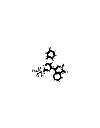 CCS(=O)(=O)Nc1ncc(Oc2ccc(F)cc2F)c(-c2cn(C)c(=O)c3c2CCCC3)n1